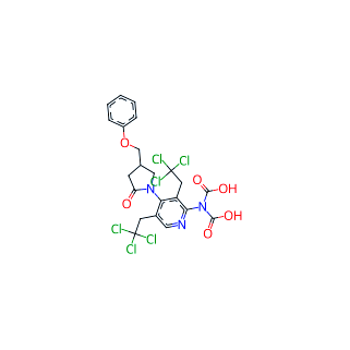 O=C1CC(COc2ccccc2)CN1c1c(CC(Cl)(Cl)Cl)cnc(N(C(=O)O)C(=O)O)c1CC(Cl)(Cl)Cl